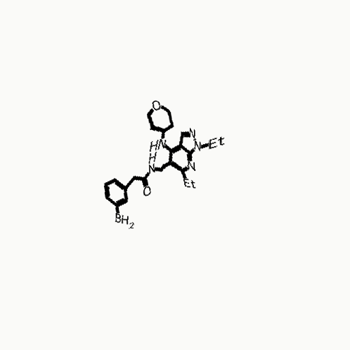 Bc1cccc(CC(=O)NCc2c(CC)nc3c(cnn3CC)c2NC2CCOCC2)c1